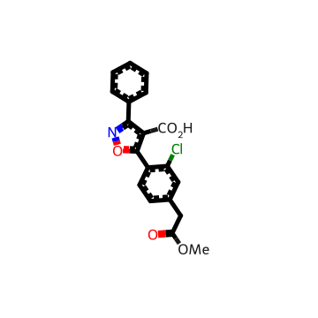 COC(=O)Cc1ccc(-c2onc(-c3ccccc3)c2C(=O)O)c(Cl)c1